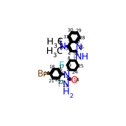 CN(C)c1cc(N[C@H]2CC[C@@H](N(C(N)=O)c3c(F)cc(Br)cc3F)CC2)nc2ccccc12